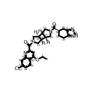 CCOc1cc(C(=O)N2C[C@@H]3[C@H](C2)[C@H]2CN(C(=O)[C@@H]4CCc5[nH]nnc5C4)C[C@@H]32)nc2cc(Cl)ccc12